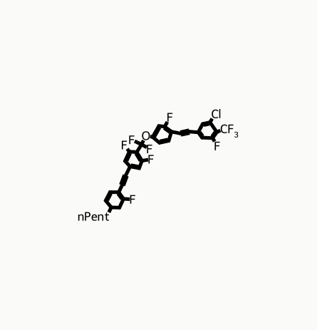 CCCCCC1C=CC(C#Cc2cc(F)c(C(F)(F)Oc3ccc(C#Cc4cc(F)c(C(F)(F)F)c(Cl)c4)c(F)c3)c(F)c2)=C(F)C1